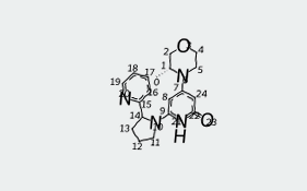 C[C@@H]1COCCN1c1cc(N2CCCC2c2ccccn2)[nH]c(=O)c1